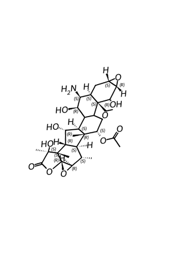 CC(=O)O[C@H]1CC2C([C@@H](O)[C@@H](N)[C@H]3C[C@@H]4O[C@@H]4[C@H](O)[C@]23C(C)=O)[C@@H]2[C@@H](O)[C@@H]3[C@H]([C@H](C)[C@H]4O[C@]45OC(=O)[C@@](C)(O)[C@]35C)[C@@]12C